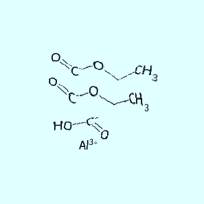 CCO[C-]=O.CCO[C-]=O.O=[C-]O.[Al+3]